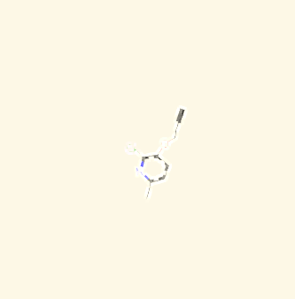 C#CCOc1ccc(C)nc1Cl